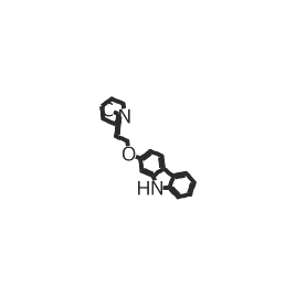 C(COc1ccc2c(c1)[nH]c1ccccc12)=C1CC2CCN1CC2